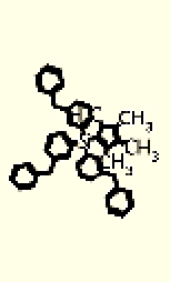 CC1=C(C)C(C)C([Si](c2cccc(Cc3ccccc3)c2)(c2cccc(Cc3ccccc3)c2)c2cccc(Cc3ccccc3)c2)=C1C